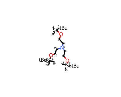 CC(C)(C)[Si](C)(C)OCCN(CCO[Si](C)(C)C(C)(C)C)CCO[Si](C)(C)C(C)(C)C